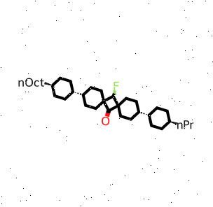 CCCCCCCC[C@H]1CC[C@H](C2CCC3(CC2)C(=O)C2(CCC([C@H]4CC[C@H](CCC)CC4)CC2)C3F)CC1